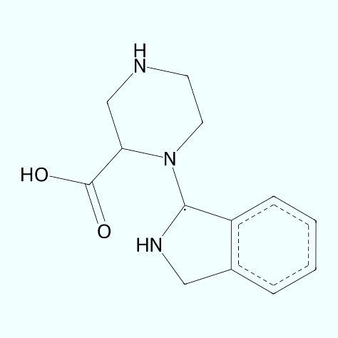 O=C(O)C1CNCCN1[C]1NCc2ccccc21